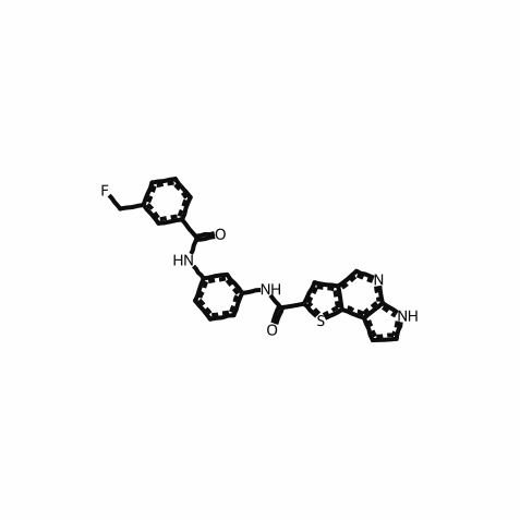 O=C(Nc1cccc(NC(=O)c2cc3cnc4[nH]ccc4c3s2)c1)c1cccc(CF)c1